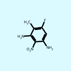 Cc1c(F)cc(N)c([N+](=O)[O-])c1N